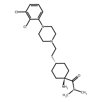 CN(C)C(=O)[C@]1(N)CC[C@H](CCN2CCN(c3cccc(Cl)c3Cl)CC2)CC1